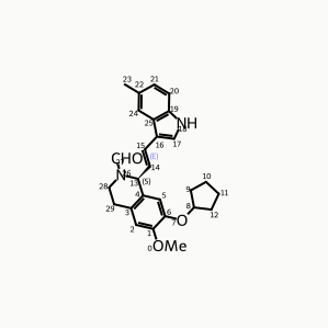 COc1cc2c(cc1OC1CCCC1)[C@H](/C=C/c1c[nH]c3ccc(C)cc13)N(C=O)CC2